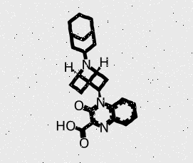 O=C(O)c1nc2ccccc2n([C@@H]2C[C@H]3N(C4CC5CCCC(C5)C4)[C@@H]4CCC432)c1=O